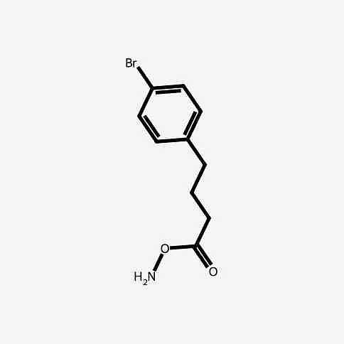 NOC(=O)CCCc1ccc(Br)cc1